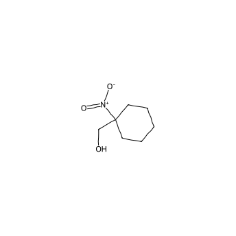 O=[N+]([O-])C1(CO)CCCCC1